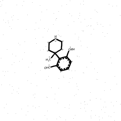 COc1cccc(C=O)c1C1(C)CCNCC1